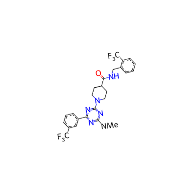 CNc1nc(-c2cccc(C(F)(F)F)c2)nc(N2CCC(C(=O)NCc3ccccc3C(F)(F)F)CC2)n1